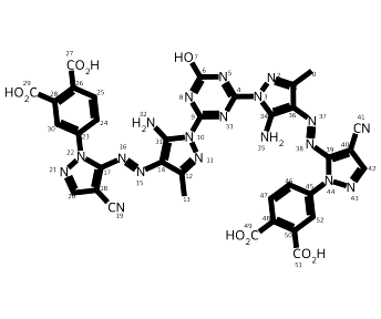 Cc1nn(-c2nc(O)nc(-n3nc(C)c(N=Nc4c(C#N)cnn4-c4ccc(C(=O)O)c(C(=O)O)c4)c3N)n2)c(N)c1N=Nc1c(C#N)cnn1-c1ccc(C(=O)O)c(C(=O)O)c1